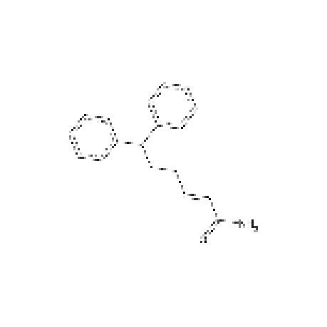 NC(=O)C=CCCC(c1ccccc1)c1ccccc1